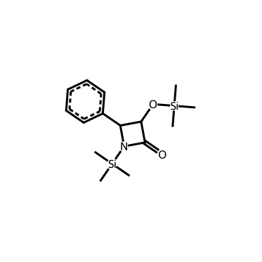 C[Si](C)(C)OC1C(=O)N([Si](C)(C)C)C1c1ccccc1